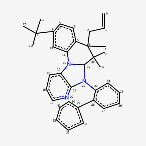 C=CCC1(C)c2ccc(C(C)(C)C)cc2N2c3cccnc3N(c3ccccc3-c3ccccc3)C2C1(C)C